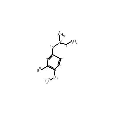 CCN(C)Sc1ccc(OC)c(Br)c1